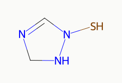 SN1C=NCN1